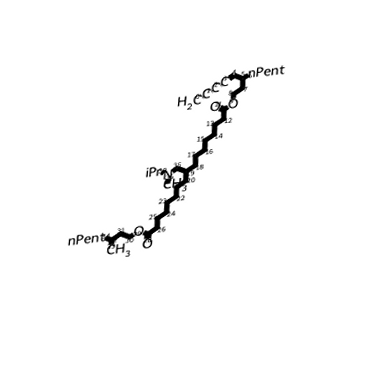 C=C=C=C=CC(CCCCC)CCOC(=O)CCCCCCCC(CCCCCCCC(=O)OCCC(C)CCCCC)CN(C)C(C)C